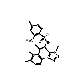 COc1cc(Cl)ccc1S(=O)(=O)NC(c1nnnn1C)C(C)c1c(F)ccc(C)c1C